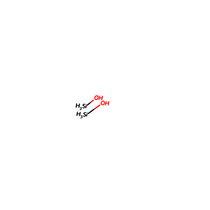 O[SiH3].O[SiH3]